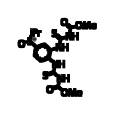 COC(=O)NC(=S)Nc1ccc([S+]([O-])C(C)C)cc1NC(=S)NC(=O)OC